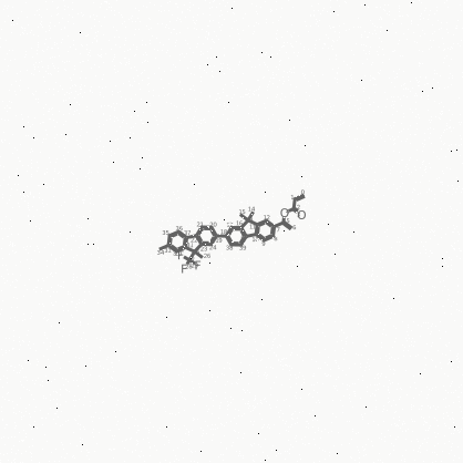 C=CC(=O)OC(=C)c1ccc2c(c1)C(C)(C)c1cc(-c3ccc4c(c3)C(C)(C(F)(F)F)c3cc(C)ccc3-4)ccc1-2